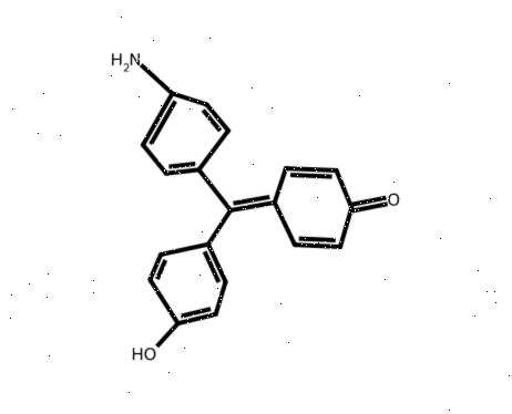 Nc1ccc(C(=C2C=CC(=O)C=C2)c2ccc(O)cc2)cc1